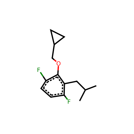 CC(C)Cc1c(F)ccc(F)c1OCC1CC1